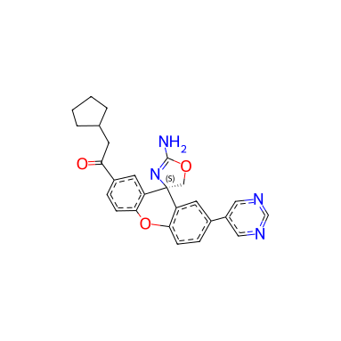 NC1=N[C@]2(CO1)c1cc(C(=O)CC3CCCC3)ccc1Oc1ccc(-c3cncnc3)cc12